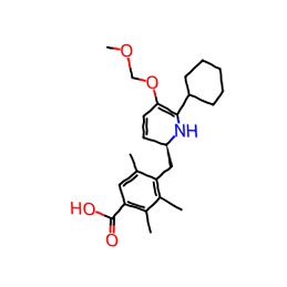 COCOC1=C(C2CCCCC2)N[C@@H](Cc2c(C)cc(C(=O)O)c(C)c2C)C=C1